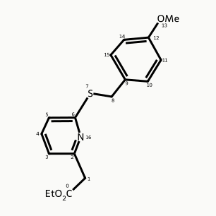 CCOC(=O)Cc1cccc(SCc2ccc(OC)cc2)n1